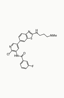 CNCCCNc1nc2ccc(-c3cnc(Cl)c(NC(=O)c4cccc(F)c4)c3)cc2s1